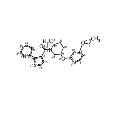 CCOc1ccnc(O[C@@H]2CC[C@@H](C)N(C(=O)c3ccsc3-c3ncccn3)C2)c1